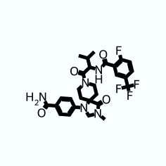 CC(C)C(NC(=O)c1cc(C(F)(F)F)ccc1F)C(=O)N1CCC2(CC1)C(=O)N(C)CN2c1ccc(C(N)=O)cc1